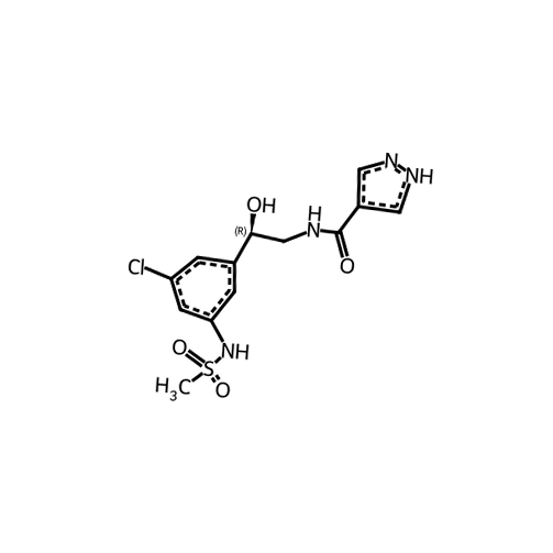 CS(=O)(=O)Nc1cc(Cl)cc([C@@H](O)CNC(=O)c2cn[nH]c2)c1